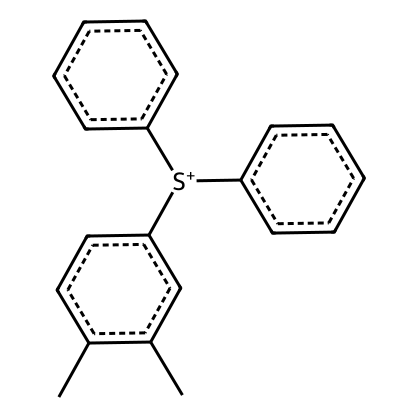 Cc1ccc([S+](c2ccccc2)c2ccccc2)cc1C